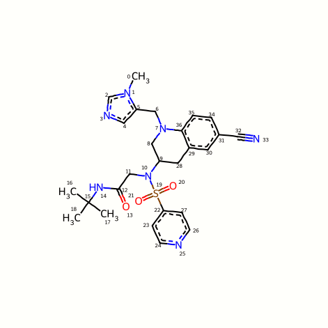 Cn1cncc1CN1CC(N(CC(=O)NC(C)(C)C)S(=O)(=O)c2ccncc2)Cc2cc(C#N)ccc21